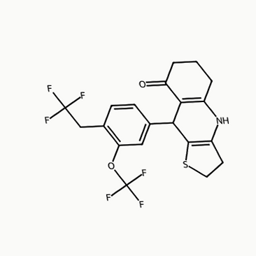 O=C1CCCC2=C1C(c1ccc(CC(F)(F)F)c(OC(F)(F)F)c1)C1=C(CCS1)N2